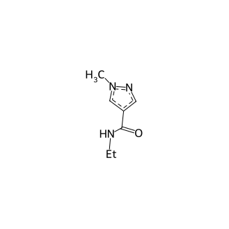 CCNC(=O)c1cnn(C)c1